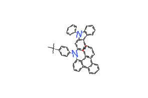 CC(C)(C)c1ccc(N(c2ccc3c4ccccc4n(-c4ccccc4)c3c2)c2cccc3c4ccccc4c4ccccc4c23)cc1